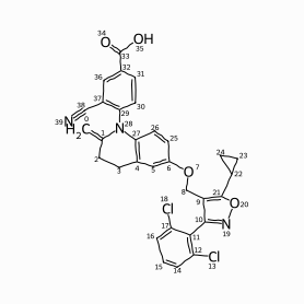 C=C1CCc2cc(OCc3c(-c4c(Cl)cccc4Cl)noc3C3CC3)ccc2N1c1ccc(C(=O)O)cc1C#N